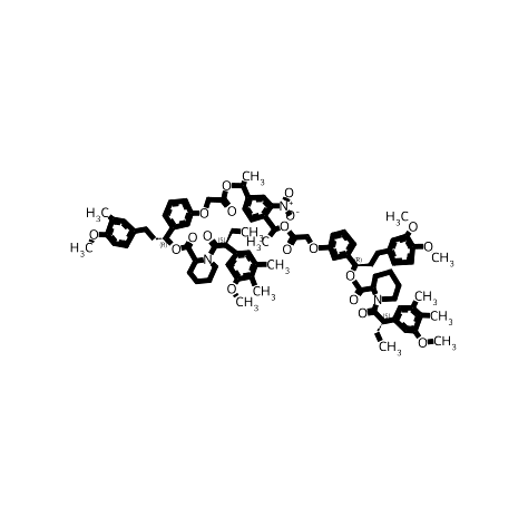 CC[C@H](C(=O)N1CCCCC1C(=O)O[C@H](CCc1ccc(OC)c(C)c1)c1cccc(OCC(=O)OC(C)c2ccc(C(C)OC(=O)COc3cccc([C@@H](CCc4ccc(OC)c(OC)c4)OC(=O)C4CCCCN4C(=O)[C@@H](CC)c4cc(C)c(C)c(OC)c4)c3)c([N+](=O)[O-])c2)c1)c1cc(C)c(C)c(OC)c1